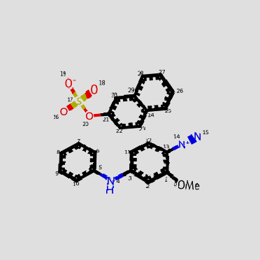 COc1cc(Nc2ccccc2)ccc1[N+]#N.O=S(=O)([O-])Oc1ccc2ccccc2c1